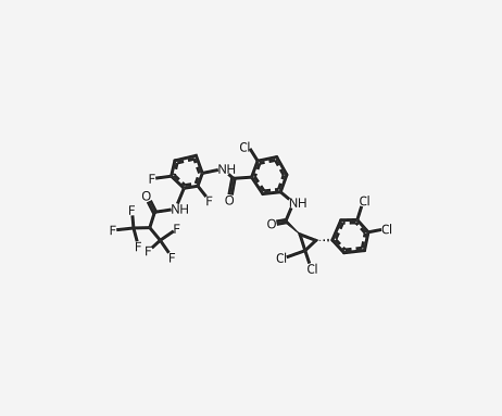 O=C(Nc1ccc(F)c(NC(=O)C(C(F)(F)F)C(F)(F)F)c1F)c1cc(NC(=O)[C@H]2[C@H](c3ccc(Cl)c(Cl)c3)C2(Cl)Cl)ccc1Cl